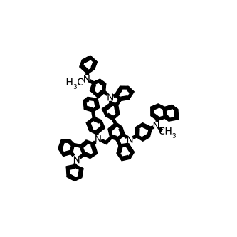 CN(c1ccccc1)c1ccc(-n2c3ccccc3c3cc(-c4cc(CN(c5ccc(-c6ccccc6)cc5)c5ccc6c(c5)c5ccccc5n6-c5ccccc5)c5c6ccccc6n(-c6ccc(N(C)c7cccc8ccccc78)cc6)c5c4)ccc32)cc1